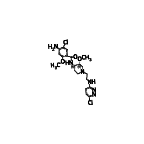 COc1cc(N)c(Cl)cc1C(=O)N[C@H]1CCN(CCNc2ccc(Cl)nn2)C[C@H]1OC